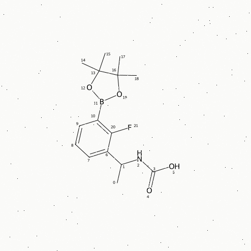 CC(NC(=O)O)c1cccc(B2OC(C)(C)C(C)(C)O2)c1F